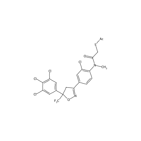 CC(=O)SCC(=O)N(C)c1ccc(C2=NOC(c3cc(Cl)c(Cl)c(Cl)c3)(C(F)(F)F)C2)cc1Cl